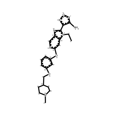 CCn1c(-c2nonc2N)nc2cnc(Oc3cccc(OCC4CCN(C)CC4)c3)cc21